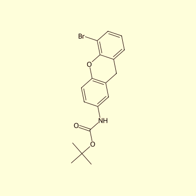 CC(C)(C)OC(=O)Nc1ccc2c(c1)Cc1cccc(Br)c1O2